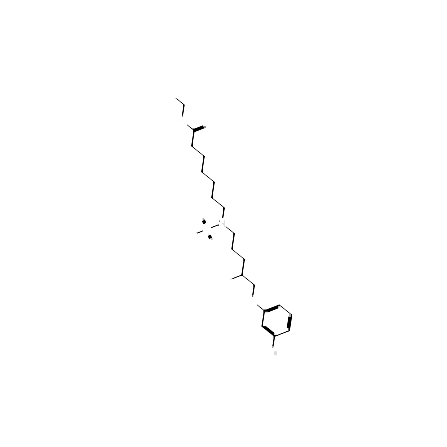 CCOC(=O)CCCCCCN(CCCC(O)COc1cccc(Br)c1)S(C)(=O)=O